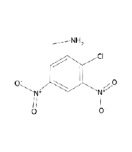 CN.O=[N+]([O-])c1ccc(Cl)c([N+](=O)[O-])c1